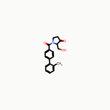 Cc1ccccc1-c1ccc(C(=O)N2CCC(=O)C2CO)cc1